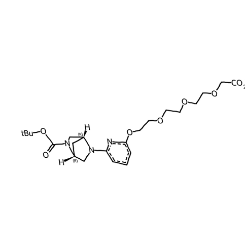 CCOC(=O)COCCOCCOCCOc1cccc(N2C[C@H]3C[C@@H]2CN3C(=O)OC(C)(C)C)n1